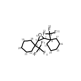 FC(F)(F)C1(C2OC2C2(C(F)(F)F)CCCCC2)CCCCC1